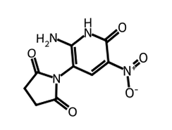 Nc1[nH]c(=O)c([N+](=O)[O-])cc1N1C(=O)CCC1=O